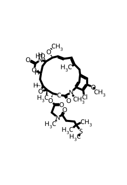 COc1cc2cc(c1Cl)N(C)C(=O)C[C@H](OC(=O)CN(C)C(=O)CCC(C)(C)SC)[C@]1(C)O[C@H]1C[C@@H]1C[C@@](O)(NC(=O)O1)[C@H](OC)/C=C/C=C(\C)C2